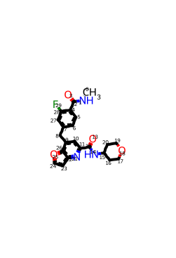 CNC(=O)c1ccc(Cc2cc(C(=O)NC3CCOCC3)nc3ccoc23)cc1F